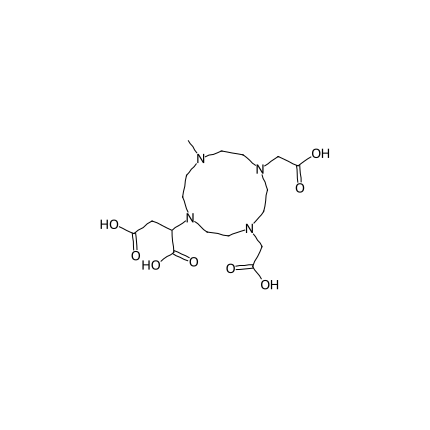 CN1CCN(CC(=O)O)CCN(CC(=O)O)CCN(C(CC(=O)O)C(=O)O)CC1